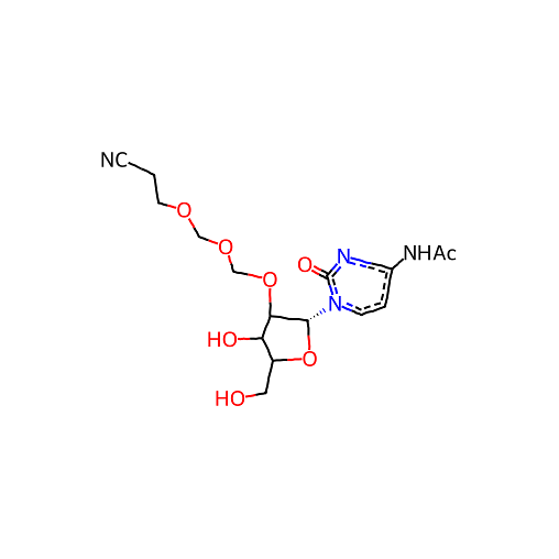 CC(=O)Nc1ccn([C@@H]2OC(CO)C(O)C2OCOCOCCC#N)c(=O)n1